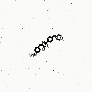 [N-]=[N+]=Nc1ccc(/C=C2/N=C(c3ccc(CN4CCOCC4)cc3)OC2=O)cc1